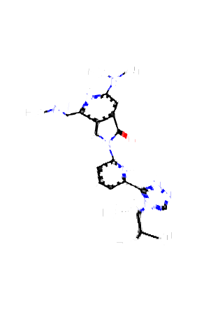 CNCc1nc(N(C)C)cc2c1CN(c1cccc(-c3nncn3[C@@H](C)C(C)C)n1)C2=O